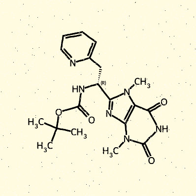 Cn1c([C@@H](Cc2ccccn2)NC(=O)OC(C)(C)C)nc2c1c(=O)[nH]c(=O)n2C